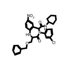 O=C(NC1CCCCC1)C1c2cc([N+](=O)[O-])ccc2NC(COCc2ccccc2)C(=O)N1c1cccc(Cl)c1